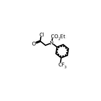 CCOC(=O)N(CC(=O)Cl)c1cccc(C(F)(F)F)c1